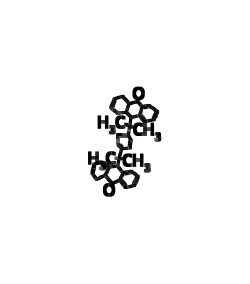 CC(C)(c1ccc(C(C)(C)C2c3ccccc3C(=O)C3CC=CCC32)cc1)C1C2=CC=CCC2C(=O)c2ccccc21